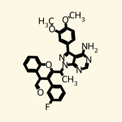 COc1ccc(-c2nn(C(C)C3=C(c4cccc(F)c4)C(C=O)c4ccccc4O3)c3ncnc(N)c23)cc1OC